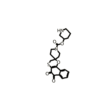 O=C1C(=O)c2ccccc2C2=C1SCC1(CCN(C(=O)OC3CCCNC3)CC1)O2